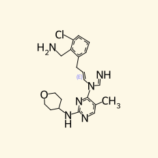 Cc1cnc(NC2CCOCC2)nc1N(C=N)/C=C/Cc1cccc(Cl)c1CN